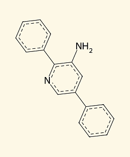 Nc1cc(-c2ccccc2)cnc1-c1ccccc1